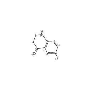 O=C1C[C]Nc2ccc(F)cc21